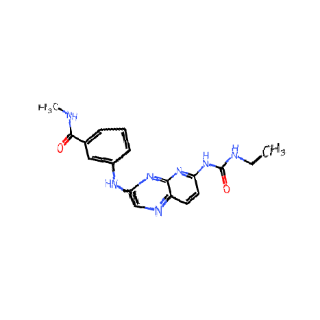 CCNC(=O)Nc1ccc2ncc(Nc3cccc(C(=O)NC)c3)nc2n1